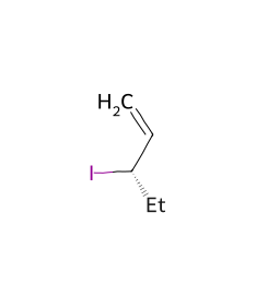 C=C[C@@H](I)CC